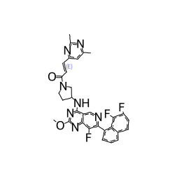 COc1nc(NC2CCN(C(=O)/C=C/c3cc(C)nc(C)n3)C2)c2cnc(-c3cccc4ccc(F)c(F)c34)c(F)c2n1